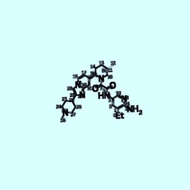 CCc1cc(NC(=O)C(=O)N2C[C@@H](C)CC[C@@H]2c2ccn3cc(C4CCN(C)CC4)nc3c2)cnc1N